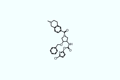 CN1CCc2cc(C(=O)N3CC(NC(=O)Oc4ccc(Cl)s4)C(OCc4ccccc4)C3)ccc2C1